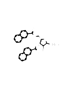 CCCCCCC1O[C@H](COC(=O)c2ccc3ccccc3c2)[C@@H](OC(=O)c2ccc3ccccc3c2)[C@@H]1F